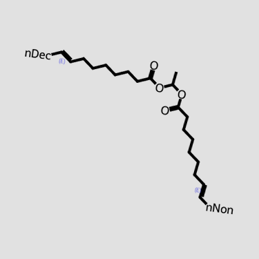 CCCCCCCCC/C=C/CCCCCCC(=O)OC(C)OC(=O)CCCCCC/C=C/CCCCCCCCCC